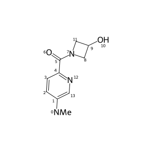 CNc1ccc(C(=O)N2CC(O)C2)nc1